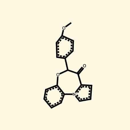 COc1ccc(C2Oc3ccccc3-n3cccc3C2=O)cc1